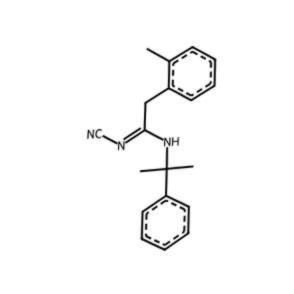 Cc1ccccc1C/C(=N\C#N)NC(C)(C)c1ccccc1